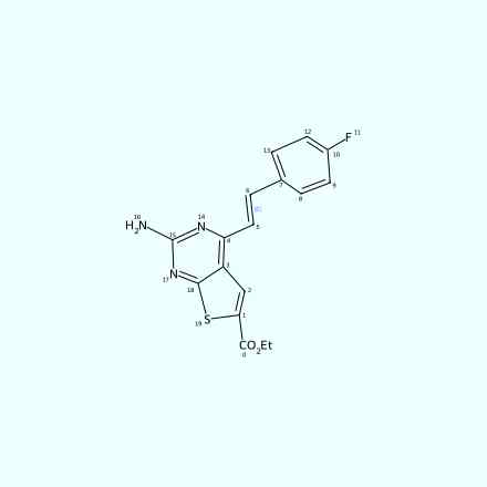 CCOC(=O)c1cc2c(/C=C/c3ccc(F)cc3)nc(N)nc2s1